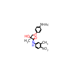 CC(=O)Nc1ccc(OC[C@](C)(O)C(=O)Nc2ccc([N+](=O)[O-])c(C)c2)cc1